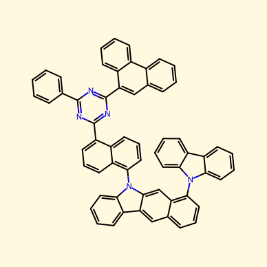 c1ccc(-c2nc(-c3cccc4c(-n5c6ccccc6c6cc7cccc(-n8c9ccccc9c9ccccc98)c7cc65)cccc34)nc(-c3cc4ccccc4c4ccccc34)n2)cc1